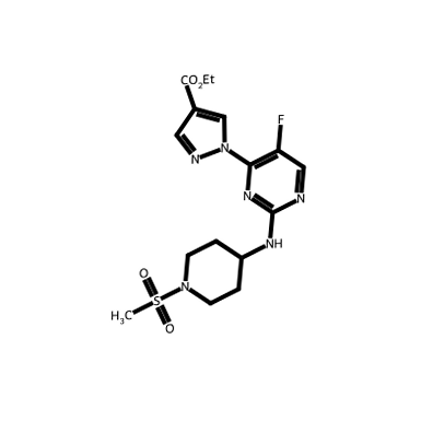 CCOC(=O)c1cnn(-c2nc(NC3CCN(S(C)(=O)=O)CC3)ncc2F)c1